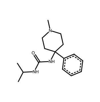 CC(C)NC(=O)NC1(c2ccccc2)CCN(C)CC1